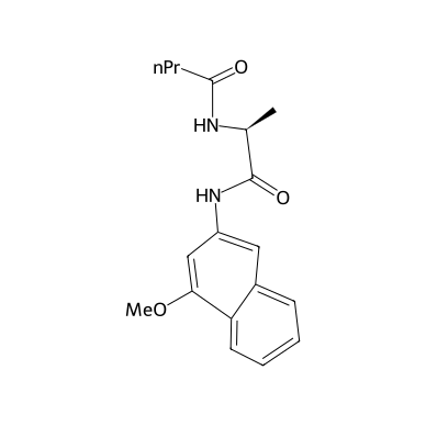 CCCC(=O)N[C@@H](C)C(=O)Nc1cc(OC)c2ccccc2c1